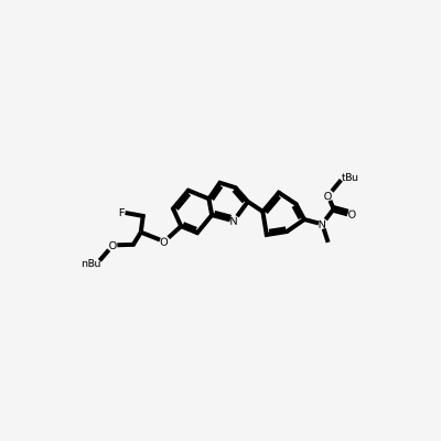 CCCCOCC(CF)Oc1ccc2ccc(-c3ccc(N(C)C(=O)OC(C)(C)C)cc3)nc2c1